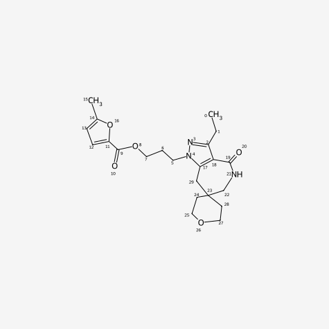 CCc1nn(CCCOC(=O)c2ccc(C)o2)c2c1C(=O)NCC1(CCOCC1)C2